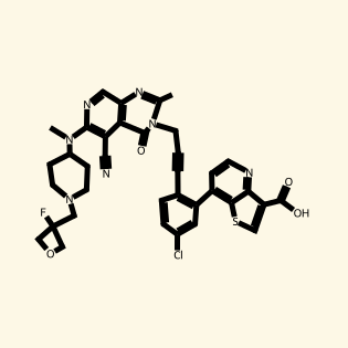 Cc1nc2cnc(N(C)C3CCN(CC4(F)COC4)CC3)c(C#N)c2c(=O)n1CC#Cc1ccc(Cl)cc1-c1ccnc2c(C(=O)O)csc12